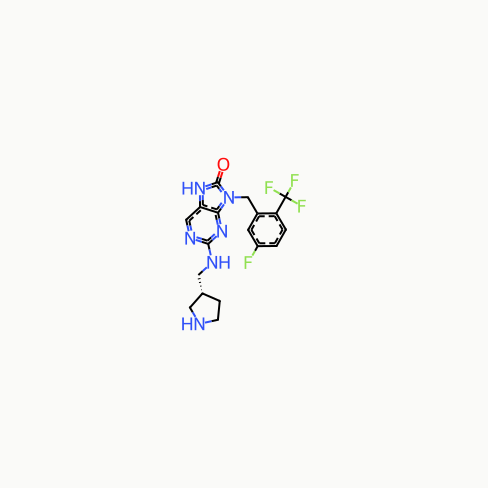 O=c1[nH]c2cnc(NC[C@@H]3CCNC3)nc2n1Cc1cc(F)ccc1C(F)(F)F